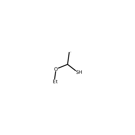 [CH2]C(S)OCC